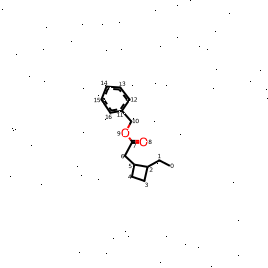 CCC1CCC1CC(=O)OCc1ccccc1